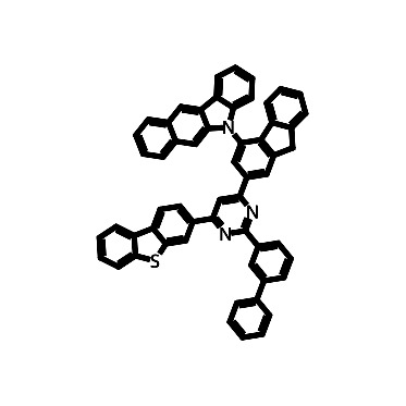 c1ccc(-c2cccc(-c3nc(-c4cc5c(c(-n6c7ccccc7c7cc8ccccc8cc76)c4)-c4ccccc4C5)cc(-c4ccc5c(c4)sc4ccccc45)n3)c2)cc1